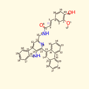 COc1cc(/C=C/C(=O)NCc2cc3c([nH]c4ccccc43)c(-c3cc4ccccc4c4ccccc34)n2)ccc1O